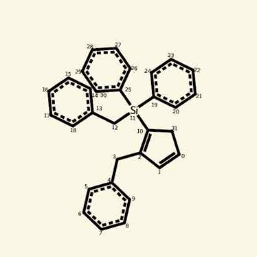 C1=CC(Cc2ccccc2)=C([Si](Cc2ccccc2)(c2ccccc2)c2ccccc2)C1